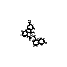 CC1(c2ccc(Cl)cc2)c2ccccc2C(=O)N1Cc1cccc2ccccc12